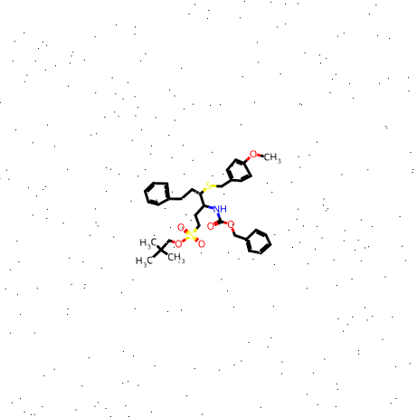 COc1ccc(CSC(CCc2ccccc2)C(CCS(=O)(=O)OCC(C)(C)C)NC(=O)OCc2ccccc2)cc1